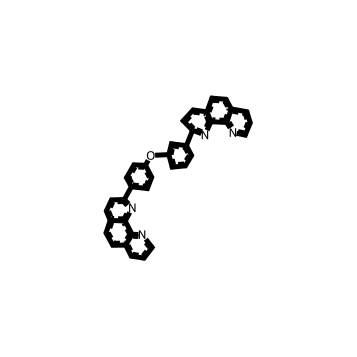 c1cc(Oc2ccc(-c3ccc4ccc5cccnc5c4n3)cc2)cc(-c2ccc3ccc4cccnc4c3n2)c1